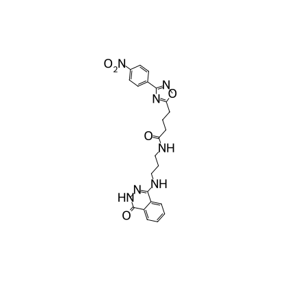 O=C(CCCc1nc(-c2ccc([N+](=O)[O-])cc2)no1)NCCCNc1n[nH]c(=O)c2ccccc12